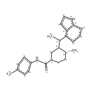 C[C@@H]1CCN(C(=O)Nc2ccc(C(F)(F)F)cc2)CC1N(C)c1ccnc2[nH]ccc12